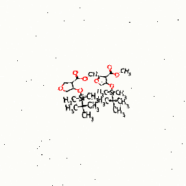 COC(=O)C1COCC1O[Si](C)(C)C(C)(C)C.COC(=O)C1COCC1O[Si](C)(C)C(C)(C)C